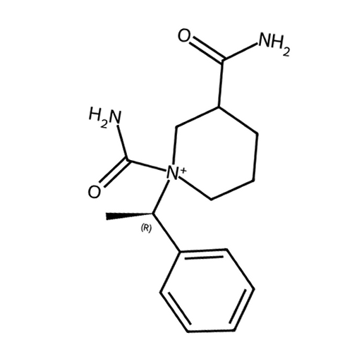 C[C@H](c1ccccc1)[N+]1(C(N)=O)CCCC(C(N)=O)C1